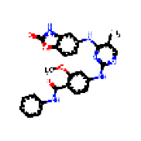 COc1cc(Nc2ncc(C)c(Nc3ccc4oc(=O)[nH]c4c3)n2)ccc1C(=O)Nc1ccccc1